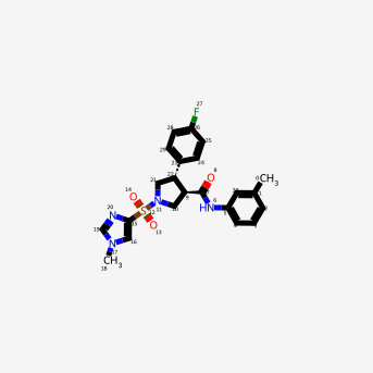 Cc1cccc(NC(=O)[C@H]2CN(S(=O)(=O)c3cn(C)cn3)C[C@@H]2c2ccc(F)cc2)c1